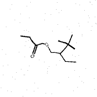 CCC(=O)OCC(CC)C(C)(C)C